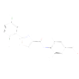 Cc1cc(CO)cc(C)c1NC(=O)c1csc(-c2cc(Cl)ccc2Cl)n1